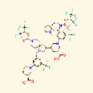 O=C(O)[C@@H]1CC(C2CN(Cc3cc(N4CCC[C@H](C(=O)O)C4)cc(C(F)(F)F)c3)C3(CCN(C(=O)OC(C(F)(F)F)C(F)(F)F)CC3)C2)CN(c2cc(C(F)(F)F)ccc2CN2CCCC23CCN(C(=O)OC(C(F)(F)F)C(F)(F)F)CC3)C1